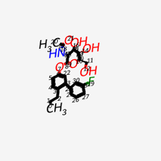 CCCc1ccc(OC2O[C@H](CO)[C@@H](O)[C@H](O)[C@H]2NC(C)=O)cc1-c1cccc(F)c1